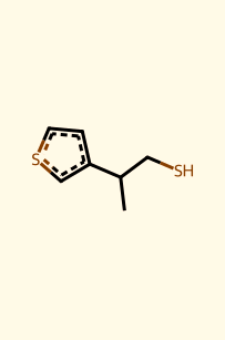 CC(CS)c1ccsc1